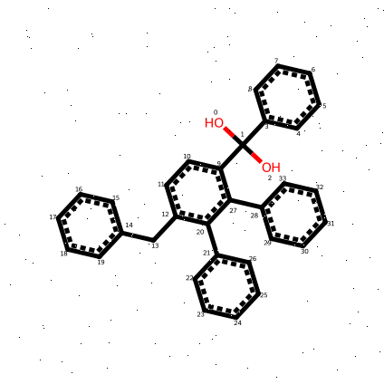 OC(O)(c1ccccc1)c1ccc(Cc2ccccc2)c(-c2ccccc2)c1-c1ccccc1